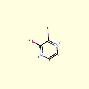 Ic1nccnc1I